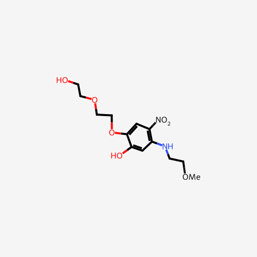 COCCNc1cc(O)c(OCCOCCO)cc1[N+](=O)[O-]